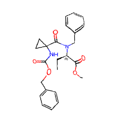 CC[C@H](C(=O)OC)N(Cc1ccccc1)C(=O)C1(NC(=O)OCc2ccccc2)CC1